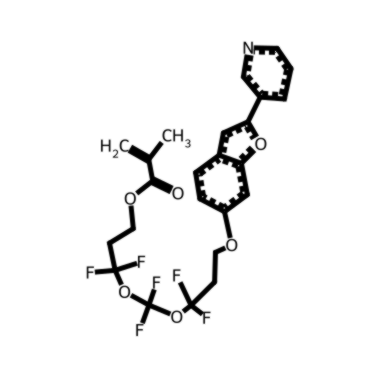 C=C(C)C(=O)OCCC(F)(F)OC(F)(F)OC(F)(F)CCOc1ccc2cc(-c3cccnc3)oc2c1